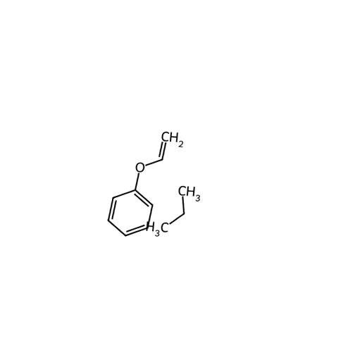 C=COc1ccccc1.CCC